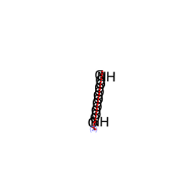 C/C=C\CCCC(=O)NCCOCCOCCOCCOCCOCCOCCOCCOCCOCCOCCOCCNC(=O)CCCC